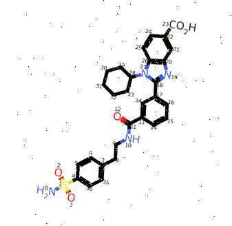 NS(=O)(=O)c1ccc(CCNC(=O)c2cccc(-c3nc4cc(C(=O)O)ccc4n3C3CCCCC3)c2)cc1